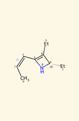 C/C=C\C1=C(CC)[C@H](CC)N1